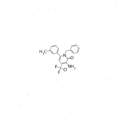 Cc1cccc(-c2cc(C(F)(F)Cl)c(N)c(=O)n2Cc2ccccc2)c1